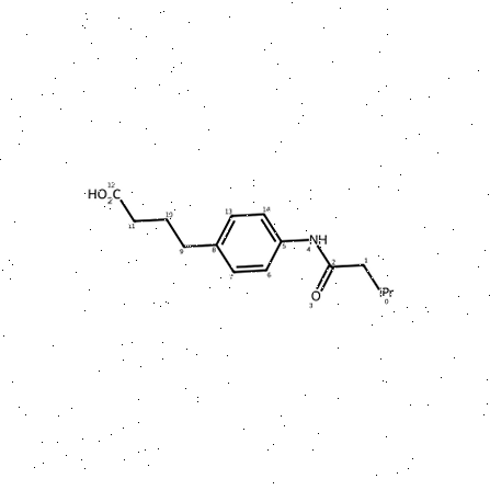 CC(C)CC(=O)Nc1ccc(CCCC(=O)O)cc1